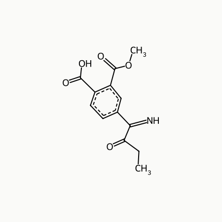 CCC(=O)C(=N)c1ccc(C(=O)O)c(C(=O)OC)c1